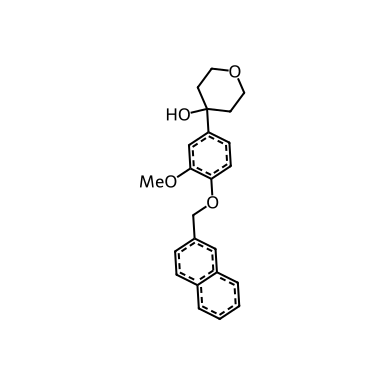 COc1cc(C2(O)CCOCC2)ccc1OCc1ccc2ccccc2c1